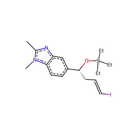 CC[Si](CC)(CC)O[C@H](C/C=C/I)c1ccc2c(c1)nc(C)n2C